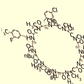 CCCC[C@@H]1NC(=O)[C@H](CCc2ccc(C(F)(F)F)c(F)c2)NC(=O)CN(C)C(=O)[C@H](Cc2ccc(Cl)cc2)N(C)C(=O)CN(C)C(=O)CN(C)C(=O)[C@H]([C@@H](C)CC)NC(=O)[C@H](CC(C)C)N(C)C(=O)C[C@@H](C)N(C)C(=O)[C@H](CC(C)C)NC(=O)C(C)(C)N(C)C1=O